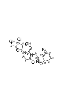 O=c1ccn([C@@H]2O[C@H](CO)C(O)[C@@H]2O)c(=O)n1Cc1noc2cccc(F)c12